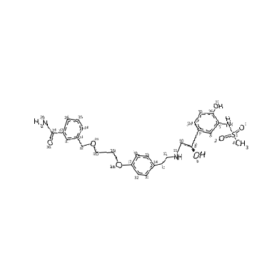 CS(=O)(=O)Nc1cc([C@@H](O)CNCCc2ccc(OCCOCc3cccc(C(N)=O)c3)cc2)ccc1O